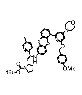 COc1ccc(COc2cc(N3CCOCC3)cc(-c3cccc4c3Sc3ccc(NC(C[C@@H]5CCCN5C(=O)OC(C)(C)C)c5ccc(C)cn5)cc3S4)n2)cc1